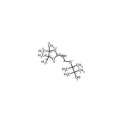 CC(C)(O)C(C)(C)OCBB1OC(C)(C)C(C)(C)O1